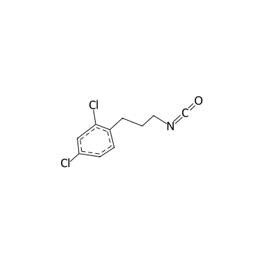 O=C=NCCCc1ccc(Cl)cc1Cl